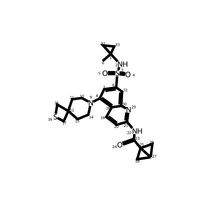 CC1(NS(=O)(=O)c2cc(N3CCC4(CC3)CSC4)c3ccc(NC(=O)C45CC4C5)nc3c2)CC1